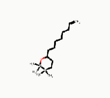 C=CCCCCCCC1CC[Si](C)(C)[Si](C)(C)O1